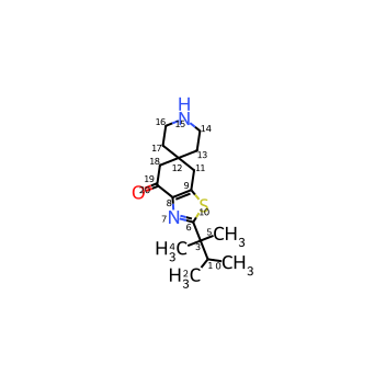 CC(C)C(C)(C)c1nc2c(s1)CC1(CCNCC1)CC2=O